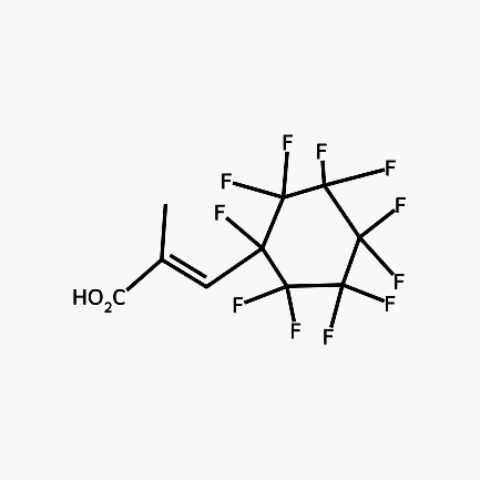 CC(=CC1(F)C(F)(F)C(F)(F)C(F)(F)C(F)(F)C1(F)F)C(=O)O